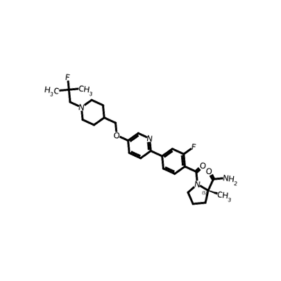 CC(C)(F)CN1CCC(COc2ccc(-c3ccc(C(=O)N4CCC[C@@]4(C)C(N)=O)c(F)c3)nc2)CC1